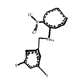 O=[N+]([O-])c1ccccc1NCc1cc(F)cc(F)c1